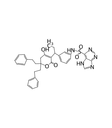 CCC(C1=C(O)CC(CCc2ccccc2)(CCc2ccccc2)OC1=O)c1cccc(NS(=O)(=O)c2ncnc3nc[nH]c23)c1